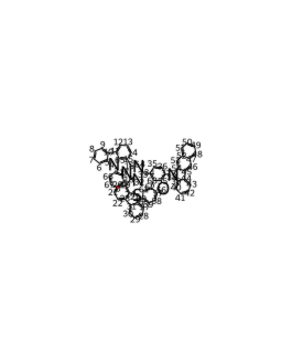 c1ccc(-n2c3ccccc3c3cccc(-c4nc(-c5cccc6c5sc5ccccc56)nc(-c5ccc(-n6c7ccccc7c7cc8ccccc8cc76)c6oc7ccccc7c56)n4)c32)cc1